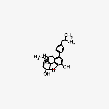 CC(N)Cc1ccc(-c2cc(O)c3c4c2C[C@@H]2[C@@H]5C=C[C@H](O)[C@H](O3)[C@]45CCN2C)cc1